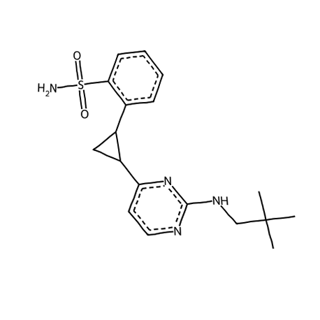 CC(C)(C)CNc1nccc(C2CC2c2ccccc2S(N)(=O)=O)n1